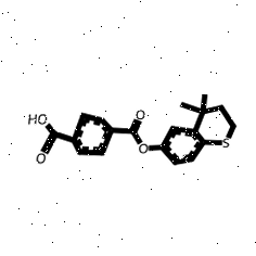 CC1(C)CCSc2ccc(OC(=O)c3ccc(C(=O)O)cc3)cc21